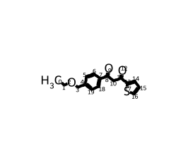 CCOCc1ccc(C(=O)CC(=O)c2cccs2)cc1